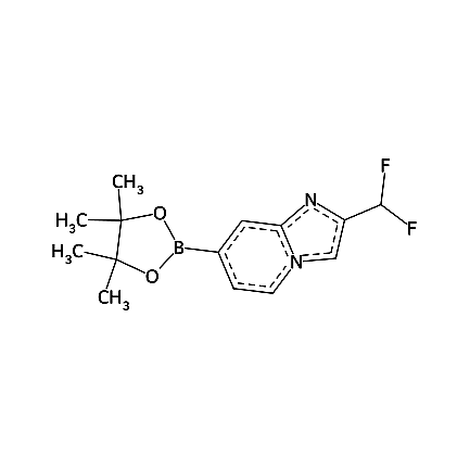 CC1(C)OB(c2ccn3cc(C(F)F)nc3c2)OC1(C)C